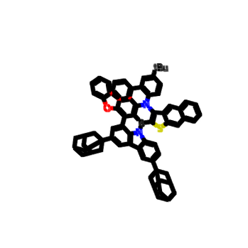 CC(C)(C)c1ccc(N2c3cc4c(oc5ccccc54)c4c3B(c3sc5cc6ccccc6cc5c32)n2c3ccc(C56CC7CC(CC(C7)C5)C6)cc3c3cc(C56CC7CC(CC(C7)C5)C6)cc-4c32)c(-c2ccccc2)c1